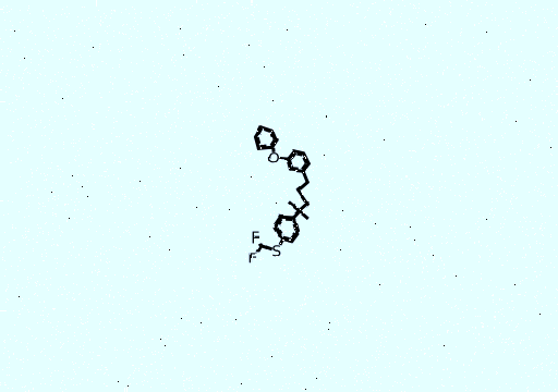 CC(C)(CCCc1cccc(Oc2ccccc2)c1)c1ccc(SC(F)F)cc1